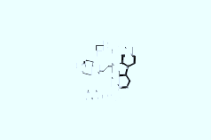 COc1nc2c(cc1F)c1ccnc(C(F)(F)F)c1n2CCN1CCOCC1.Cl